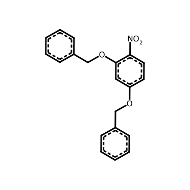 O=[N+]([O-])c1ccc(OCc2ccccc2)cc1OCc1ccccc1